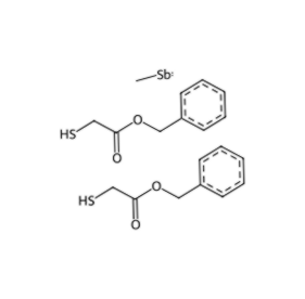 O=C(CS)OCc1ccccc1.O=C(CS)OCc1ccccc1.[CH3][Sb]